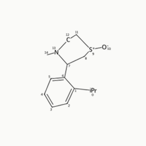 CC(C)c1ccccc1C1C[S+]([O-])CCN1C